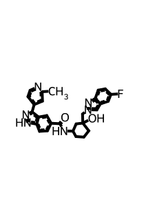 Cc1cc(-c2n[nH]c3ccc(C(=O)NC4CCCC(O)(Cn5cc6cc(F)ccc6n5)C4)cc23)ccn1